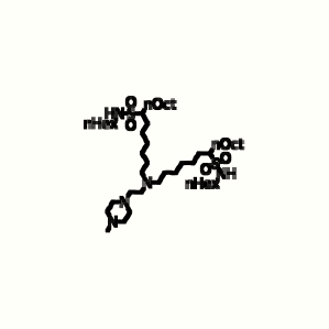 CCCCCCCCC(CCCCCCN(CCCCCCC(CCCCCCCC)S(=O)(=O)NCCCCCC)CCN1CCN(C)CC1)S(=O)(=O)NCCCCCC